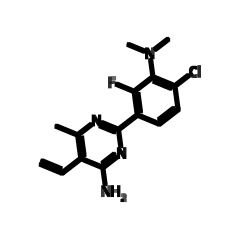 C=Cc1c(C)nc(-c2ccc(Cl)c(N(C)C)c2F)nc1N